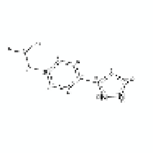 CC(C)Cc1ccc(-c2csnn2)cc1